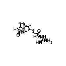 N=C(N)NNC(=O)CCCCC1SCC2NC(=O)NC21